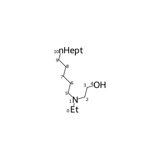 [CH2]CN(CCO)CCCCCCCCCCCC